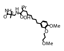 COCCCOc1cc(CCCCC(O)CC(C(=O)NCC(C)(C)C(N)=O)C(C)C)ccc1OC